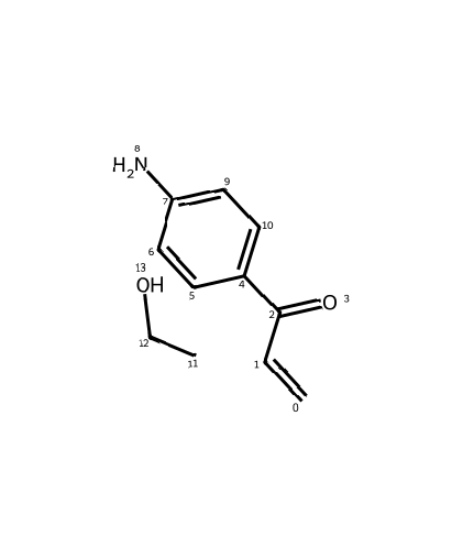 C=CC(=O)c1ccc(N)cc1.CCO